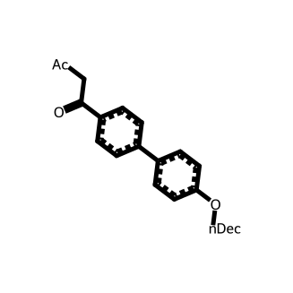 CCCCCCCCCCOc1ccc(-c2ccc(C(=O)CC(C)=O)cc2)cc1